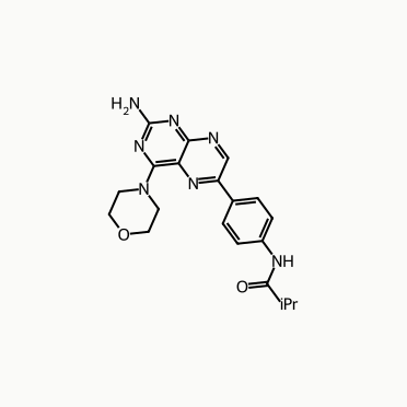 CC(C)C(=O)Nc1ccc(-c2cnc3nc(N)nc(N4CCOCC4)c3n2)cc1